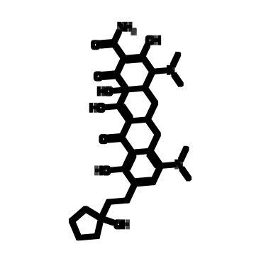 CN(C)c1cc(CCC2(O)CCCC2)c(O)c2c1CC1CC3C(N(C)C)C(O)=C(C(N)=O)C(=O)C3(O)C(O)=C1C2=O